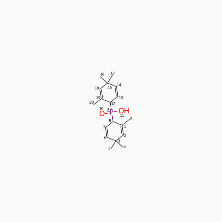 CC1=CC(C)(C)C=CC1P(=O)(O)C1C=CC(C)(C)C=C1C